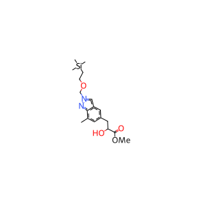 COC(=O)C(O)Cc1cc(C)c2nn(COCC[Si](C)(C)C)cc2c1